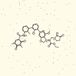 CCOC(=O)N(C[C@@H]1CCC(=O)N1)[C@H]1COc2cc(-c3cccc(-c4cccc(NC(=O)c5cn(C)c(=O)n(C)c5=O)c4C)c3Cl)nc(OC)c21